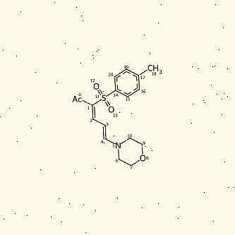 CC(=O)C(=CC=CN1CCOCC1)S(=O)(=O)c1ccc(C)cc1